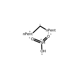 CCCCCCCCCCC.O=[SH](=O)O